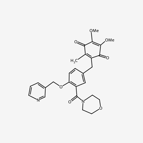 COC1=C(OC)C(=O)C(Cc2ccc(OCc3cccnc3)c(C(=O)N3CCOCC3)c2)=C(C)C1=O